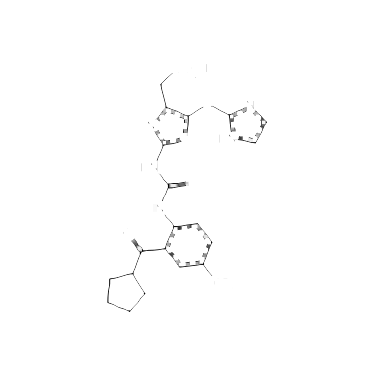 O=C(O)Cc1nc(NC(=O)Nc2ccc(C(F)(F)F)cc2C(=O)C2CCCC2)sc1Sc1ncc[nH]1